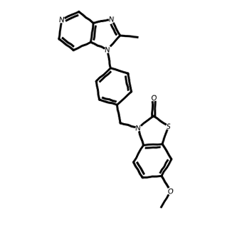 COc1ccc2c(c1)sc(=O)n2Cc1ccc(-n2c(C)nc3cnccc32)cc1